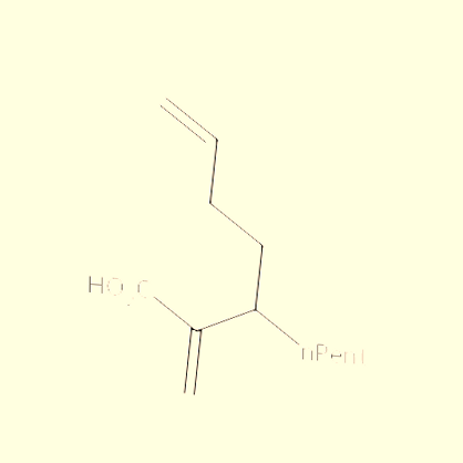 C=CCCC(CCCCC)C(=C)C(=O)O